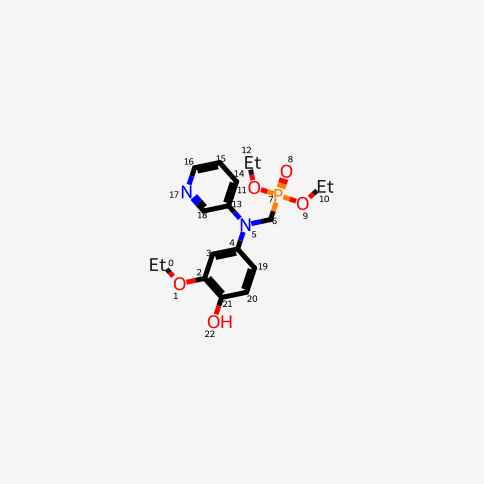 CCOc1cc(N(CP(=O)(OCC)OCC)c2cccnc2)ccc1O